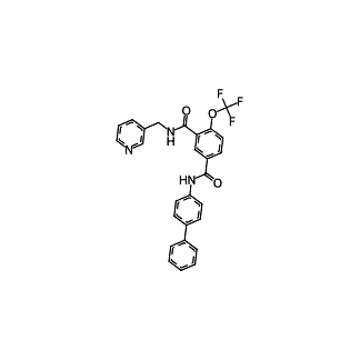 O=C(Nc1ccc(-c2ccccc2)cc1)c1ccc(OC(F)(F)F)c(C(=O)NCc2cccnc2)c1